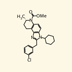 COC(=O)N1c2ccc3c(nc(Cc4cccc(Cl)c4)n3C3CCCCC3)c2CC[C@@H]1C